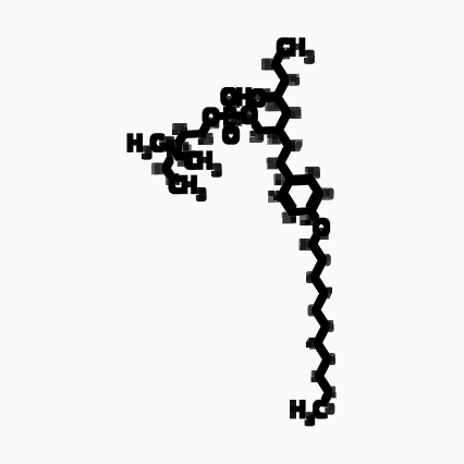 CCCCCCCCCCCOc1ccc(CCC(COP(=O)(O)OCC[N+](C)(C)CC)CC(=O)CCC)cc1